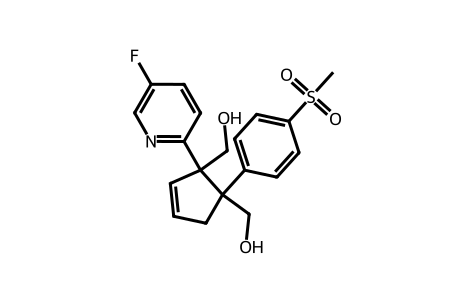 CS(=O)(=O)c1ccc(C2(CO)CC=CC2(CO)c2ccc(F)cn2)cc1